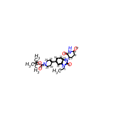 CCn1c(=O)n(C2CCC(=O)NC2=O)c2ccc(C3=CCN(C(=O)OC(C)(C)C)CC3)cc21